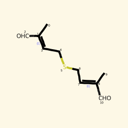 C/C(C=O)=C\CSC/C=C(\C)C=O